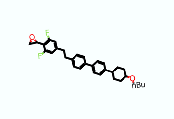 CCCCOC1CCC(c2ccc(-c3ccc(CCc4cc(F)c(C5CO5)c(F)c4)cc3)cc2)CC1